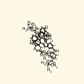 CC(C)(C)OC(=O)N1CCC(Nc2ccc3c(c2)cc(-c2ccc(Cl)c4c2C(C(=O)C2NCc5c(Cl)ccc(-c6cc7cc(NC8CCN(C(=O)OC(C)(C)C)CC8)ccc7n6C(=O)OC(C)(C)C)c52)NC4)n3C(=O)OC(C)(C)C)CC1